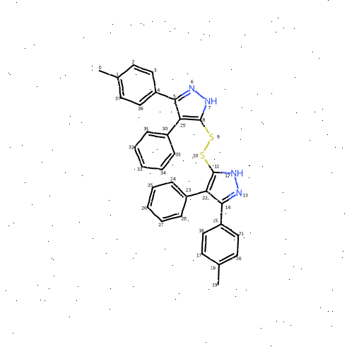 Cc1ccc(-c2n[nH]c(SSc3[nH]nc(-c4ccc(C)cc4)c3-c3ccccc3)c2-c2ccccc2)cc1